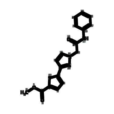 COC(=O)c1ccc(-c2ccn(CC(=O)Nc3ccccc3)n2)s1